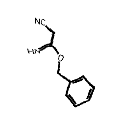 N#CCC(=N)OCc1ccccc1